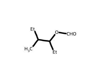 CCC(C)C(CC)OC=O